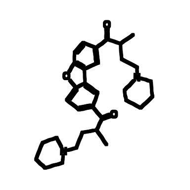 CC(CCN1CCCCC1)C(=O)c1ccc2oc3ccc(C(=O)C(C)CCN4CCCCC4)cc3c2c1